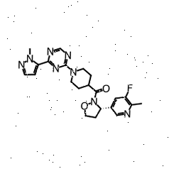 Cc1ncc([C@@H]2CCON2C(=O)C2CCN(c3ncnc(-c4ccnn4C)n3)CC2)cc1F